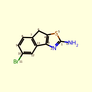 Nc1nc2c(s1)Cc1ccc(Br)cc1-2